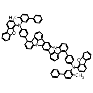 Cc1ccc(-c2ccccc2)cc1N(c1ccc(-c2cccc3c2c2cccc4c5cc6c(cc5n3c42)c2cccc3c4c(-c5ccc(N(c7cc(-c8ccccc8)ccc7C)c7cccc8c7oc7ccccc78)cc5)cccc4n6c23)cc1)c1cccc2c1oc1ccccc12